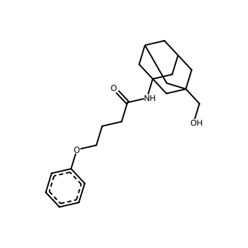 O=C(CCCOc1ccccc1)NC12CC3CC(CC(CO)(C3)C1)C2